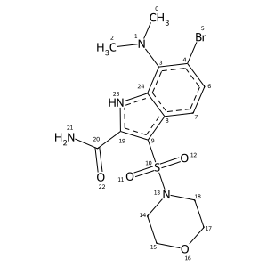 CN(C)c1c(Br)ccc2c(S(=O)(=O)N3CCOCC3)c(C(N)=O)[nH]c12